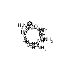 CC[C@@H]1NC(=O)[C@H](CCN)NC(=O)[C@H](CCN)NC(=O)[C@H](CC(C)C)NC(=O)[C@@H](Cc2ccccc2)NC(=O)[C@H](CCN)NC(=O)CCCNC1=O